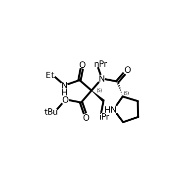 CCCN(C(=O)[C@@H]1CCCN1)[C@@](CC(C)C)(C(=O)NCC)C(=O)OC(C)(C)C